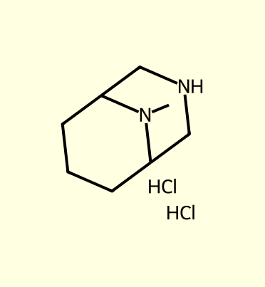 CN1C2CCCC1CNC2.Cl.Cl